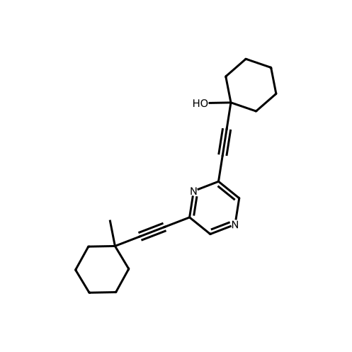 CC1(C#Cc2cncc(C#CC3(O)CCCCC3)n2)CCCCC1